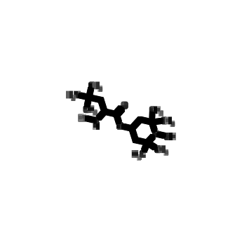 CCPC(CC(C)(C)N)C(=O)OC1CC(C)(C)N(O)C(C)(C)C1